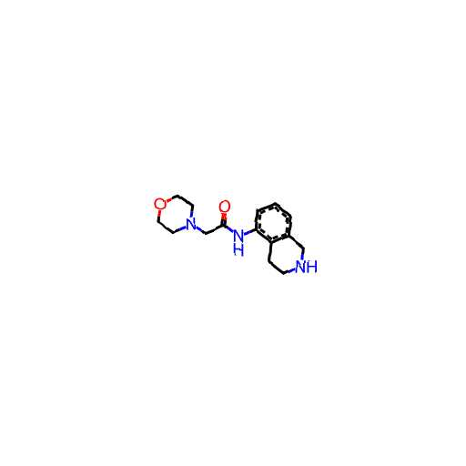 O=C(CN1CCOCC1)Nc1cccc2c1CCNC2